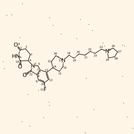 O=C1CCC(N2Cc3c(cc(F)cc3C3CCN(CCCCCCCN4CCCC4)CC3)C2=O)C(=O)N1